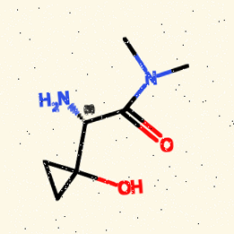 CN(C)C(=O)[C@@H](N)C1(O)CC1